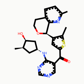 [CH2][C@@H]1C[C@@H](Nc2ncncc2C(=O)c2cc([C@H]3OCCc4ccc(C)nc43)c(C)s2)C[C@@H]1O